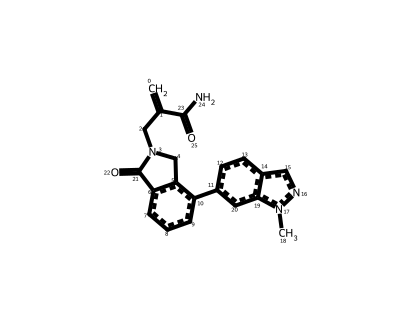 C=C(CN1Cc2c(cccc2-c2ccc3cnn(C)c3c2)C1=O)C(N)=O